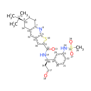 CC(C)(C)[C@H]1CCc2nc3sc(C(=O)N[C@H](CC=O)c4cccc(NS(C)(=O)=O)c4)cc3cc2C1